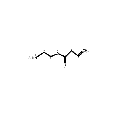 C=CCC(=O)OCCNC(C)=O